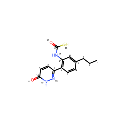 CCCc1ccc(-c2ccc(=O)[nH]n2)c(NC(=O)S)c1